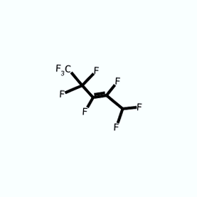 FC(=C(F)C(F)(F)C(F)(F)F)C(F)F